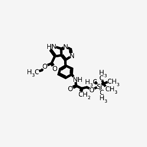 C=C(CO[Si](C)(C)C(C)(C)C)C(=O)Nc1cccc(-c2ncnc3[nH]cc(C(=O)OCC)c23)c1